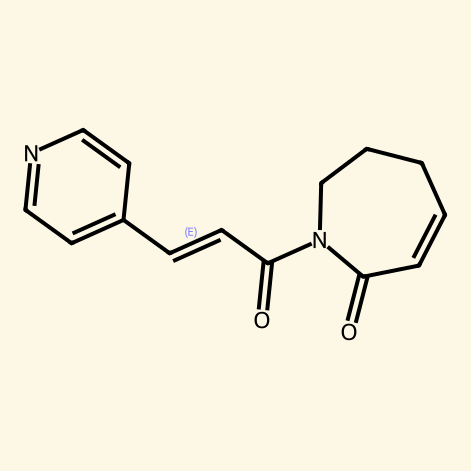 O=C1C=CCCCN1C(=O)/C=C/c1ccncc1